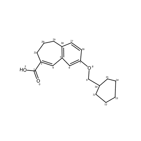 O=C(O)C1=Cc2cc(OCC3CCCCC3)ccc2CCC1